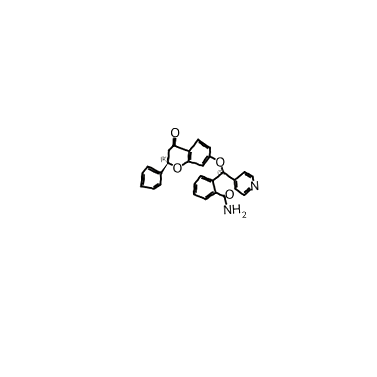 NC(=O)c1ccccc1[C@@H](Oc1ccc2c(c1)O[C@@H](c1ccccc1)CC2=O)c1ccncc1